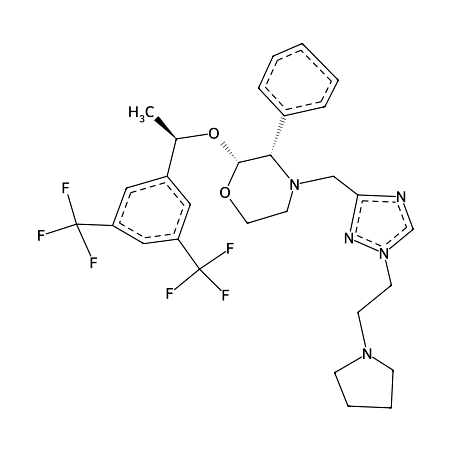 C[C@@H](O[C@H]1OCCN(Cc2ncn(CCN3CCCC3)n2)[C@H]1c1ccccc1)c1cc(C(F)(F)F)cc(C(F)(F)F)c1